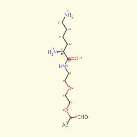 CC(=O)C([C]=O)OCCOCCNC(=O)[C@@H](N)CCCCN